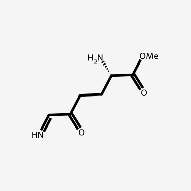 COC(=O)[C@@H](N)CCC(=O)C=N